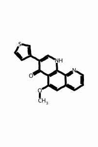 COc1cc2cccnc2c2[nH]cc(-c3ccsc3)c(=O)c12